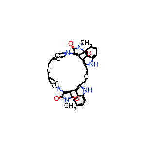 CN1C(=O)C2=C(C1=O)N1CCC(CCC3CCN(CC3)C3=C(C(=O)N(C)C3=O)c3c([nH]c4ccccc34)CCCc3[nH]c4ccccc4c32)CC1